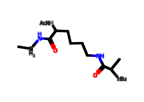 CCCCC(C)C(=O)NCCCCC(NC(C)=O)C(=O)N[SiH2]C